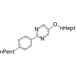 CCCCCCCOc1cnc(-c2ccc(CCCCC)cc2)nc1